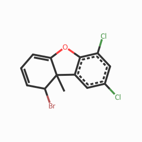 CC12C(=CC=CC1Br)Oc1c(Cl)cc(Cl)cc12